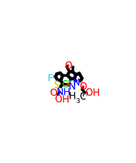 C[C@@H](O)COc1ccc2c3c(c(-c4ccc(F)c5sc(NC(=O)O)c(C#N)c45)c(Cl)c2n1)COC3